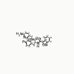 Nc1ccc(CNC(=O)[C@H](Cc2ccc(F)cc2)NC(=O)c2onc3ccccc23)cn1